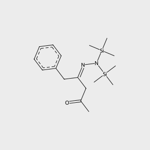 CC(=O)C/C(Cc1ccccc1)=N\N([Si](C)(C)C)[Si](C)(C)C